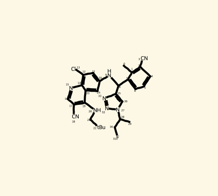 Cc1c(C#N)cccc1C(Nc1cc(Cl)c2ncc(C#N)c(NCC(C)(C)C)c2c1)c1cn(C(C)CF)nn1